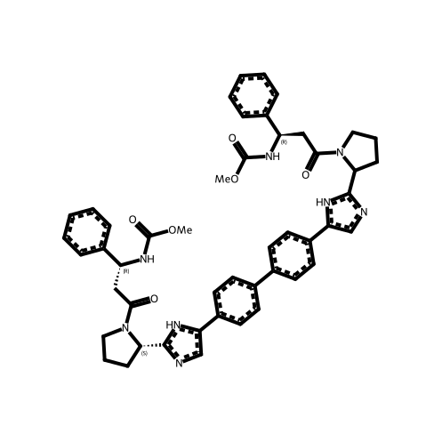 COC(=O)N[C@H](CC(=O)N1CCCC1c1ncc(-c2ccc(-c3ccc(-c4cnc([C@@H]5CCCN5C(=O)C[C@@H](NC(=O)OC)c5ccccc5)[nH]4)cc3)cc2)[nH]1)c1ccccc1